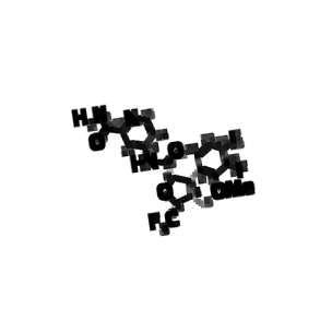 COc1c([C@@H]2[C@H](C)[C@H](C(F)(F)F)O[C@@H]2C(=O)Nc2ccnc(C(N)=O)c2)ccc(F)c1F